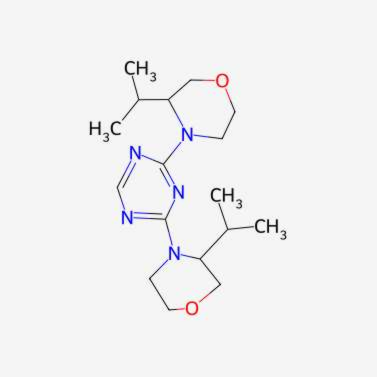 CC(C)C1COCCN1c1ncnc(N2CCOCC2C(C)C)n1